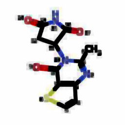 Cc1nc2ccsc2c(=O)n1C1CC(=O)NC1=O